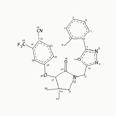 Cc1ccccc1-c1nnc(CN2CC(C)(C)C(Oc3ccc(C#N)c(C(F)(F)F)c3)C2=O)o1